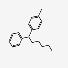 CCCCCC(c1ccccc1)c1ccc(C)cc1